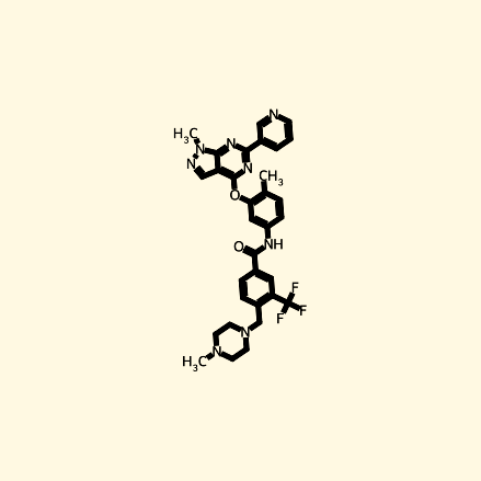 Cc1ccc(NC(=O)c2ccc(CN3CCN(C)CC3)c(C(F)(F)F)c2)cc1Oc1nc(-c2cccnc2)nc2c1cnn2C